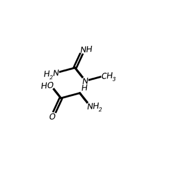 CNC(=N)N.NCC(=O)O